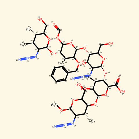 CO[C@H]1OC(CO)[C@@H](O[C@@H]2OC(C(=O)O)[C@@H](O[C@H]3OC(CO)[C@@H](O[C@@H]4OC(OC=O)[C@@H](O[C@@H]5OC(CO)[C@@H](C)[C@H](C)C5N=[N+]=[N-])[C@H](C)C4OCc4ccccc4)[C@H](O)C3N=[N+]=[N-])[C@H](C)C2O)[C@H](C)C1N=[N+]=[N-]